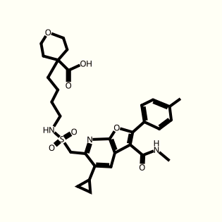 CNC(=O)c1c(-c2ccc(C)cc2)oc2nc(CS(=O)(=O)NCCCCC3(C(=O)O)CCOCC3)c(C3CC3)cc12